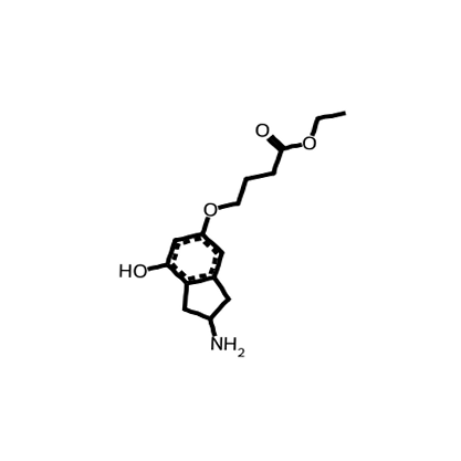 CCOC(=O)CCCOc1cc(O)c2c(c1)CC(N)C2